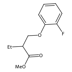 CCC(COc1ccccc1F)C(=O)OC